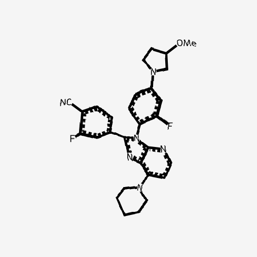 COC1CCN(c2ccc(-n3c(-c4ccc(C#N)c(F)c4)nc4c(N5CCCCC5)ccnc43)c(F)c2)C1